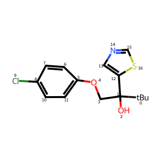 CC(C)(C)C(O)(COc1ccc(Cl)cc1)c1cncs1